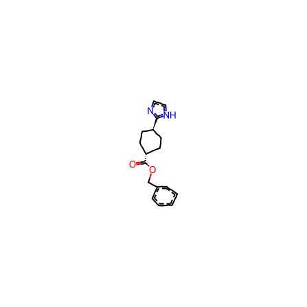 O=C(OCc1ccccc1)[C@H]1CC[C@H](c2ncc[nH]2)CC1